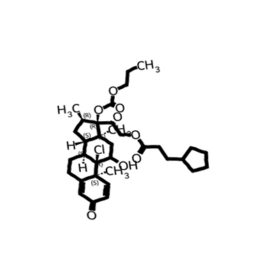 CCCOC(=O)O[C@]1(C(=O)COC(=O)CCC2CCCC2)[C@H](C)C[C@H]2[C@@H]3CCC4=CC(=O)C=C[C@]4(C)[C@@]3(Cl)C(O)C[C@@]21C